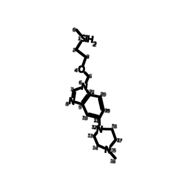 C[SiH2]CCOCn1cnc2cc(N3CCN(C)CC3)ccc21